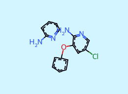 Nc1ccccn1.Nc1ncc(Cl)cc1Oc1ccccc1